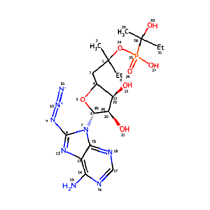 CCC(C)(CC1O[C@@H](n2c(N=[N+]=[N-])nc3c(N)ncnc32)[C@H](O)[C@@H]1O)OP(=O)(O)C(C)(O)CC